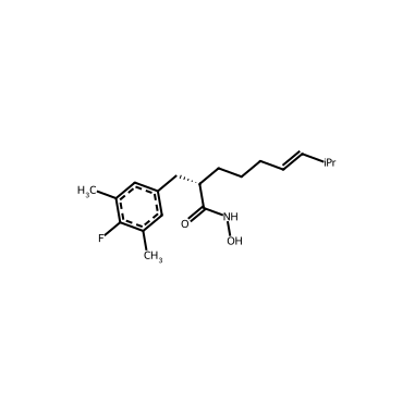 Cc1cc(C[C@H](CCC/C=C/C(C)C)C(=O)NO)cc(C)c1F